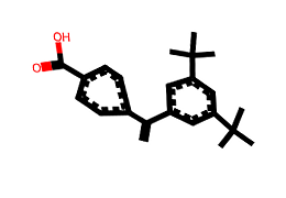 C=C(c1ccc(C(=O)O)cc1)c1cc(C(C)(C)C)cc(C(C)(C)C)c1